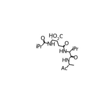 CC(=O)[C@H](C)NC(=O)C(NC(=O)CC[C@H](NC(=O)C(C)C)C(=O)O)C(C)C